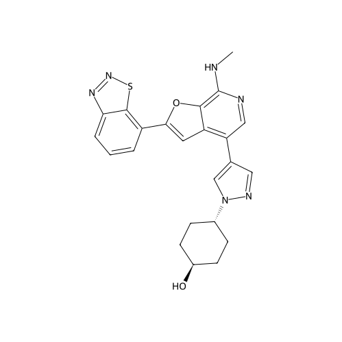 CNc1ncc(-c2cnn([C@H]3CC[C@H](O)CC3)c2)c2cc(-c3cccc4nnsc34)oc12